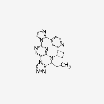 CCC1c2nncn2-c2cnc(-n3ccnc3-c3ccncc3)nc2N1C1CCC1